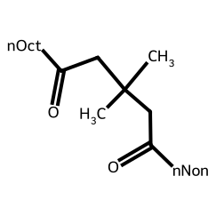 CCCCCCCCCC(=O)CC(C)(C)CC(=O)CCCCCCCC